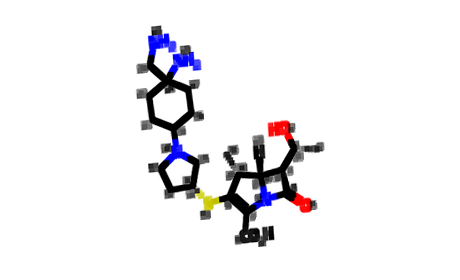 C[C@@H](O)[C@H]1C(=O)N2C(C(=O)O)=C(S[C@@H]3CCN(C4CCC(N)(CN)CC4)C3)[C@H](C)[C@H]12